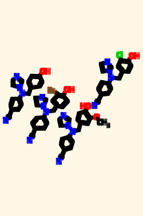 COc1cc(CN(c2ccc(C#N)cc2)n2ccnc2)ccc1O.N#Cc1ccc(N(Cc2ccc(O)c(Br)c2)n2ccnc2)cc1.N#Cc1ccc(N(Cc2ccc(O)c(Cl)c2)n2ccnc2)cc1.N#Cc1ccc(N(Cc2ccc(O)cc2)n2ccnc2)cc1